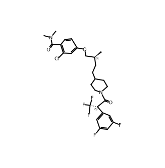 C[C@@H](CCC1CCN(C(=O)[C@H](c2cc(F)cc(F)c2)C(F)(F)F)CC1)COc1ccc(C(=O)N(C)C)c(Cl)c1